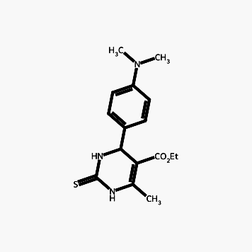 CCOC(=O)C1=C(C)NC(=S)NC1c1ccc(N(C)C)cc1